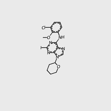 COc1c(Cl)cccc1Nc1nc(I)nc2c1ncn2C1CCCCO1